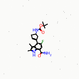 Cc1[nH]c2c(C(N)=O)cc(F)c(C3=CC[C@@H](NC(=O)OC(C)(C)C)C3)c2c1C